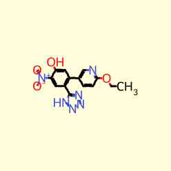 CCOc1ccc(-c2cc(O)c([N+](=O)[O-])cc2-c2nnn[nH]2)cn1